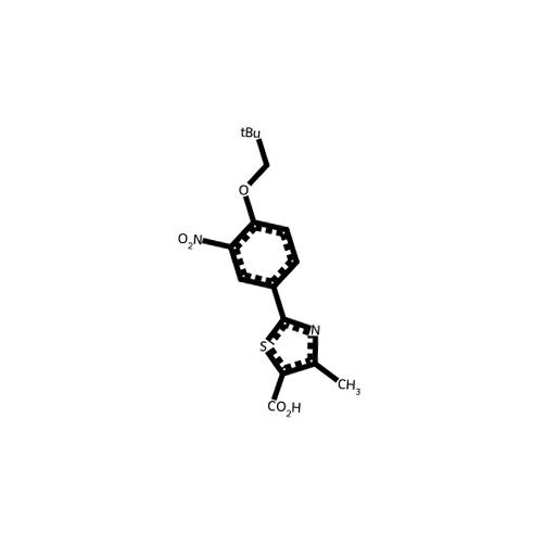 Cc1nc(-c2ccc(OCC(C)(C)C)c([N+](=O)[O-])c2)sc1C(=O)O